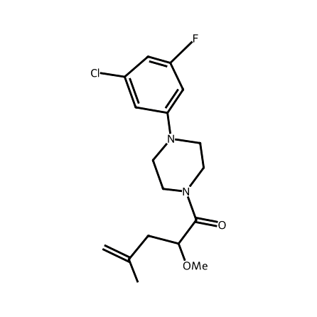 C=C(C)CC(OC)C(=O)N1CCN(c2cc(F)cc(Cl)c2)CC1